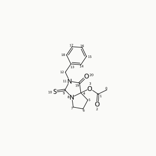 CC(=O)OC12CCCN1C(=S)N(Cc1ccccc1)C2=O